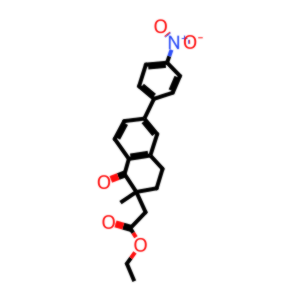 CCOC(=O)CC1(C)CCc2cc(-c3ccc([N+](=O)[O-])cc3)ccc2C1=O